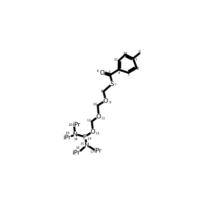 Cc1ccc(C(=O)SCOCOCOP(N(C(C)C)C(C)C)N(C(C)C)C(C)C)cc1